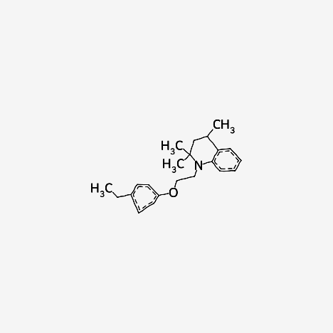 CCc1ccc(OCCN2c3ccccc3C(C)CC2(C)C)cc1